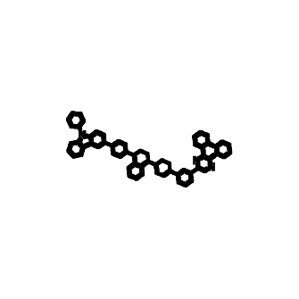 C1=C(C2=c3ccccc3=C(c3ccc(-c4ccc5c(c4)c4ccccc4n5-c4ccccc4)cc3)CC2)CCC(c2cccc(-c3cnc4c5ccccc5c5ccccc5c4n3)c2)=C1